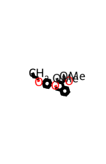 C=CCOc1ccc(OCc2ccccc2C(=COC)C(=O)OC)cc1